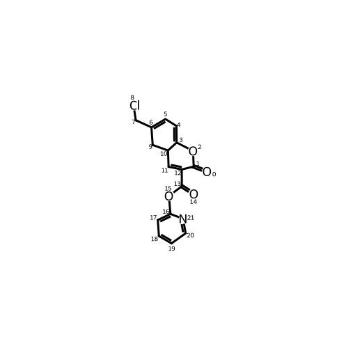 O=C1OC2=CC=C(CCl)CC2C=C1C(=O)Oc1ccccn1